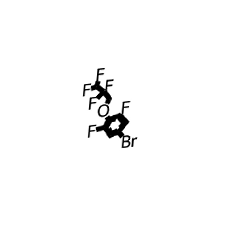 Fc1cc(Br)cc(F)c1OCC(F)(F)C(F)F